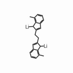 [Li][CH]1C(CCC2=Cc3cccc(C)c3[CH]2[Li])=Cc2cccc(C)c21